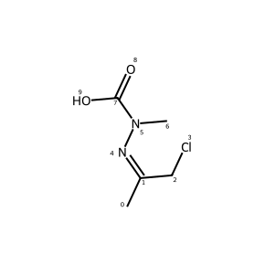 CC(CCl)=NN(C)C(=O)O